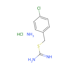 Cl.N.N=C(N)SCc1ccc(Cl)cc1